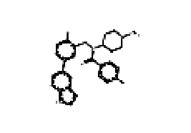 CN1CCC(N(Cc2cc(-c3ccc4[nH]ccc4c3)ccc2F)C(=O)c2ccc(Cl)cc2)CC1